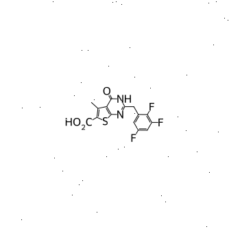 Cc1c(C(=O)O)sc2nc(Cc3cc(F)cc(F)c3F)[nH]c(=O)c12